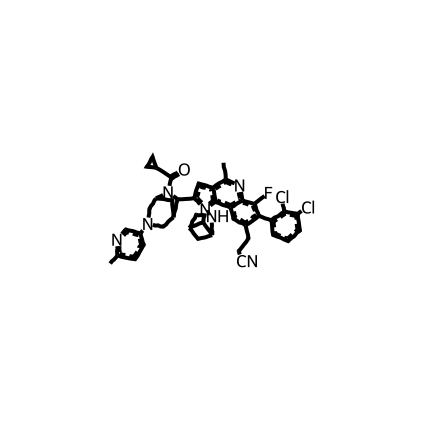 Cc1ccc(N2CC3CC(C2)N(C(=O)C2CC2)C3c2cc3c(C)nc4c(F)c(-c5cccc(Cl)c5Cl)c(CCC#N)cc4c3n2C2C3CNC2C3)cn1